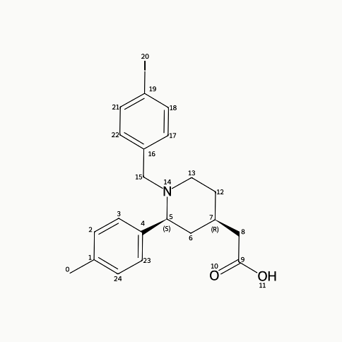 Cc1ccc([C@@H]2C[C@H](CC(=O)O)CCN2Cc2ccc(I)cc2)cc1